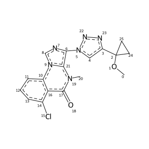 COC1(c2cn(-c3ncn4c5cccc(Cl)c5c(=O)n(C)c34)nn2)CC1